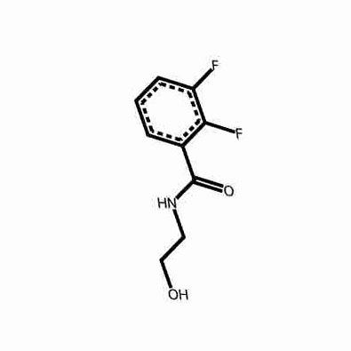 O=C(NCCO)c1cccc(F)c1F